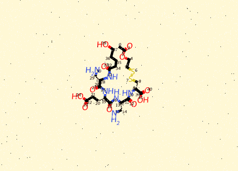 CC(=O)OCCSSC[C@@H](NC(=O)[C@H](CN)NC(=O)[C@H](CCC(=O)O)NC(=O)[C@H](CN)NC(=O)CCCCO)C(=O)O